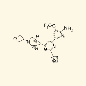 Nc1ncc(-c2cc(C3[C@H]4CN(C5COC5)C[C@@H]34)nc(N3CC4CC3C4)n2)cc1OC(F)(F)F